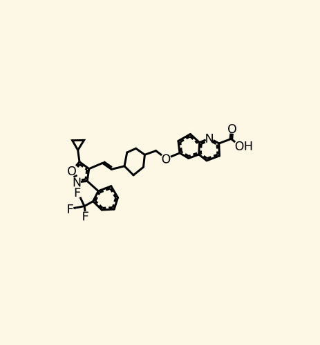 O=C(O)c1ccc2cc(OCC3CCC(/C=C/c4c(-c5ccccc5C(F)(F)F)noc4C4CC4)CC3)ccc2n1